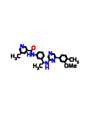 COc1cc(-c2cncc(NC(C)c3cccc(NC(=O)c4cncc(C)c4)c3)n2)ccc1C